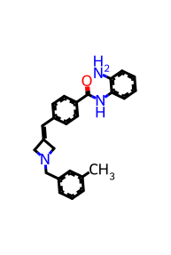 Cc1cccc(CN2CC(=Cc3ccc(C(=O)Nc4ccccc4N)cc3)C2)c1